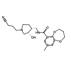 Cc1cc2c(c(C(=O)NC[C@H]3CCN(CCCC#N)C[C@H]3O)c1)OCCCO2